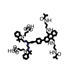 C=C(C)C(=O)NCCCNCc1c2ccccc2c(CNCCCNC(=O)C(=C)C)c2cc(-c3ccc(C#CC(=C\C=C4/N(CCCS(=O)(=O)O)c5ccccc5C4(C)C)/C=C/C4=[N+](CCCS(=O)(=O)O)c5ccccc5C4(C)C)cc3)ccc12